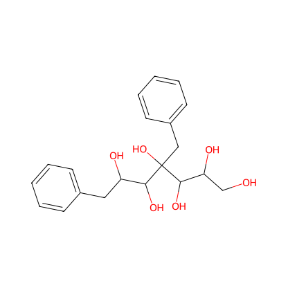 OCC(O)C(O)C(O)(Cc1ccccc1)C(O)C(O)Cc1ccccc1